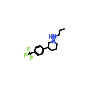 CCCNN1CCCC(c2ccc(C(F)(F)F)cc2)C1